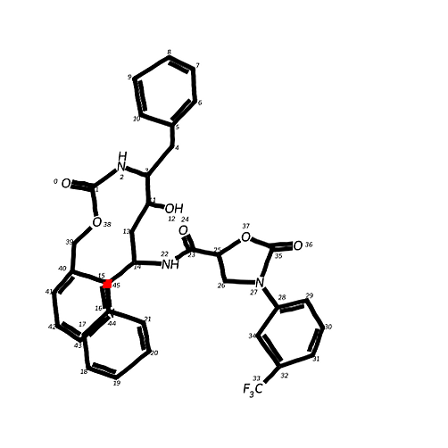 O=C(NC(Cc1ccccc1)C(O)CC(Cc1ccccc1)NC(=O)C1CN(c2cccc(C(F)(F)F)c2)C(=O)O1)OCc1cccnc1